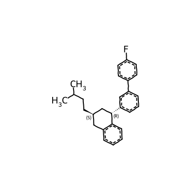 CC(C)CC[C@@H]1Cc2ccccc2[C@@H](c2cccc(-c3ccc(F)cc3)c2)C1